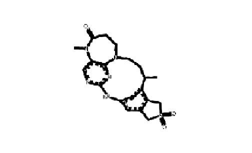 CC1CCN2CCC(=O)N(C)c3cnc(nc32)Nc2cc3c(c1c2)CS(=O)(=O)C3